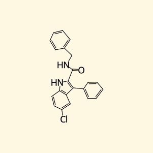 O=C(NCc1ccccc1)c1[nH]c2ccc(Cl)cc2c1-c1ccccc1